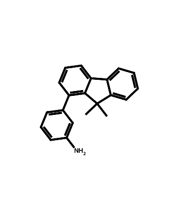 CC1(C)c2ccccc2-c2cccc(-c3cccc(N)c3)c21